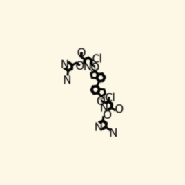 N#Cc1cncc(COc2nc(O[C@H]3CCc4c(-c5cccc6c5CC[C@@H]6Oc5nc(OCc6cncc(C#N)c6)c(C=O)cc5Cl)cccc43)c(Cl)cc2C=O)c1